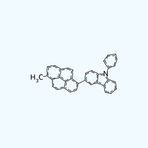 Cc1ccc2ccc3c(-c4ccc5c(c4)c4ccccc4n5-c4ccccc4)ccc4ccc1c2c43